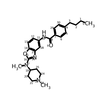 CCCCc1ccc(C(=O)Nc2ccc3oc(N(C)C4CCN(C)CC4)nc3c2)cc1